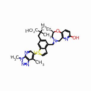 CC[C@@H]1CN(Cc2cc(CC(C)(C)C(=O)O)cc3c2C=C[SH]3c2cnc3c(nnn3C)c2C)Cc2nc(O)ccc2O1